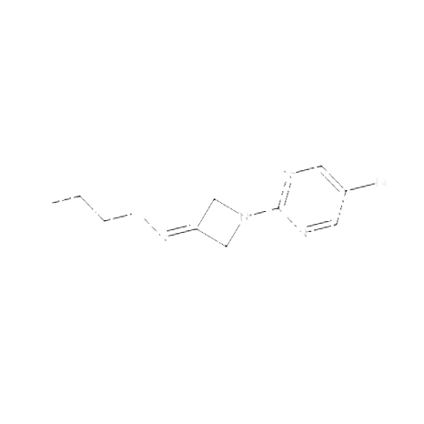 OCCON=C1CN(c2ncc(Br)cn2)C1